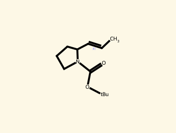 C/C=C/C1CCCN1C(=O)OC(C)(C)C